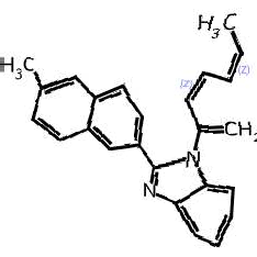 C=C(/C=C\C=C/C)n1c(-c2ccc3cc(C)ccc3c2)nc2ccccc21